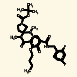 CCCCOc1c2n(cc(C(=O)NCc3ccc(F)cc3F)c1=O)N(C)C1(CCN(C(=O)OC(C)(C)C)C1)N(C)C2=O